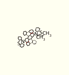 C/C=C\C1=C(C)N(c2ccc3c(-c4ccccc4-c4ccccc4)c4cc(N5c6ccccc6Sc6ccccc65)ccc4c(C4=C(c5ccccc5)C=CCC4)c3c2)c2ccccc2S1